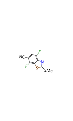 CSc1nc2c(F)cc(C#N)c(F)c2s1